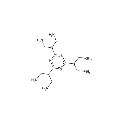 NCC(CN)c1nc(N(CN)CN)nc(N(CN)CN)n1